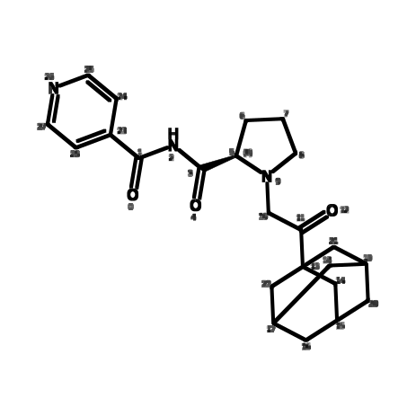 O=C(NC(=O)[C@H]1CCCN1CC(=O)C12CC3CC(CC(C3)C1)C2)c1ccncc1